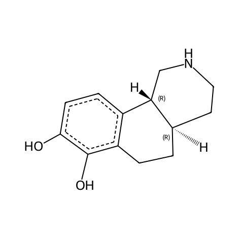 Oc1ccc2c(c1O)CC[C@@H]1CCNC[C@@H]21